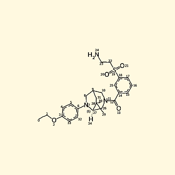 CCOc1ccc(N2CC3CN(C(=O)c4cccc(S(=O)(=O)CCN)c4)C[C@@H]2C(C)(C)C3)cc1